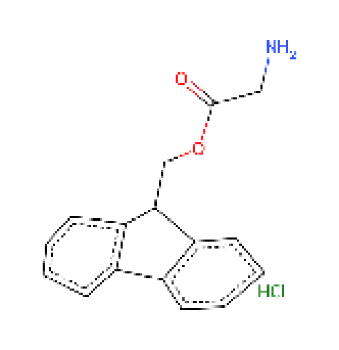 Cl.NCC(=O)OCC1c2ccccc2-c2ccccc21